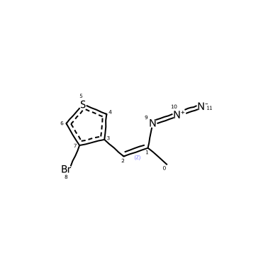 C/C(=C/c1cscc1Br)N=[N+]=[N-]